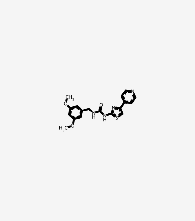 COc1cc(CNC(=O)Nc2nc(-c3ccncc3)cs2)cc(OC)c1